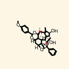 COc1ccc(C2O[C@H]3C[C@H]4OC[C@@]4(C)[C@H]4[C@H](OC(=O)c5ccccc5)[C@]5(C(C)(C)O)C[C@H](O)C(C)=C5[C@@H](C)[C@H](O2)[C@]34C)cc1